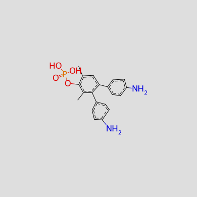 Cc1cc(-c2ccc(N)cc2)c(-c2ccc(N)cc2)c(C)c1OP(=O)(O)O